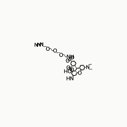 CCN(CC)c1ccc2c(-c3ccc(S(=O)(=O)NCCOCCOCCOCCN=[N+]=[N-])cc3S(=O)(=O)O)c3ccc(=N)cc-3oc2c1